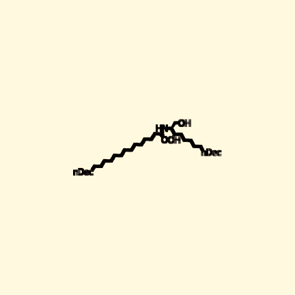 CCCCCCCCCCCCCCCCCCCCCCCC(=O)N[C@@H](CO)[C@@H](O)CCCCCCCCCCCCCCC